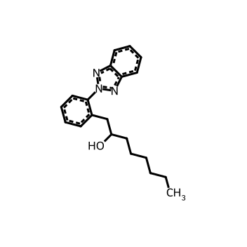 CCCCCCC(O)Cc1ccccc1-n1nc2ccccc2n1